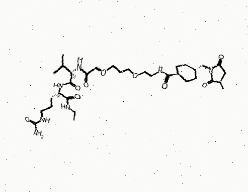 CCNC(=O)[C@H](CCCNC(N)=O)NC(=O)[C@@H](NC(=O)COCCCOCCNC(=O)[C@H]1CC[C@H](CN2C(=O)CC(C)C2=O)CC1)C(C)C